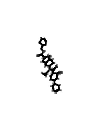 O=C(OCC1CC=CCC1)N1CC2CC(N(C(=O)C3CCC(C4C=CC=CC4)CC3O)C3CC3)CCC2N1